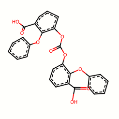 O=C(Oc1cccc(C(=O)O)c1Oc1ccccc1)Oc1cccc(C(=O)O)c1Oc1ccccc1